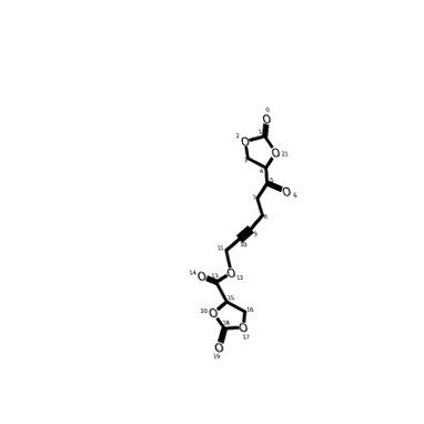 O=C1OCC(C(=O)CCC#CCOC(=O)C2COC(=O)O2)O1